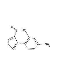 Nc1ccc(-c2cscc2C=O)c(O)c1